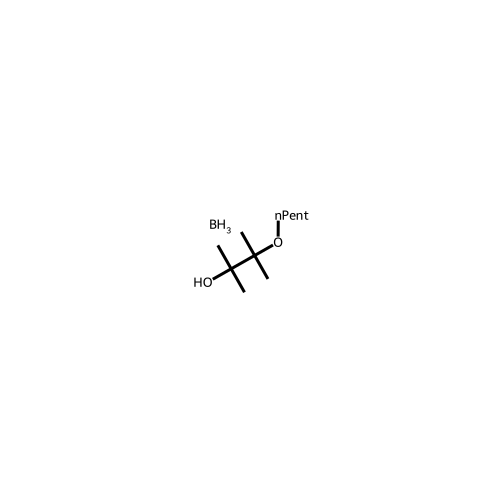 B.CCCCCOC(C)(C)C(C)(C)O